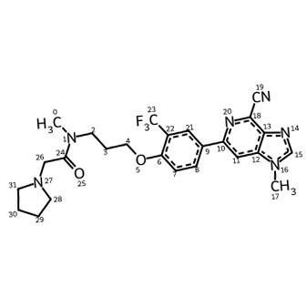 CN(CCCOc1ccc(-c2cc3c(ncn3C)c(C#N)n2)cc1C(F)(F)F)C(=O)CN1CCCC1